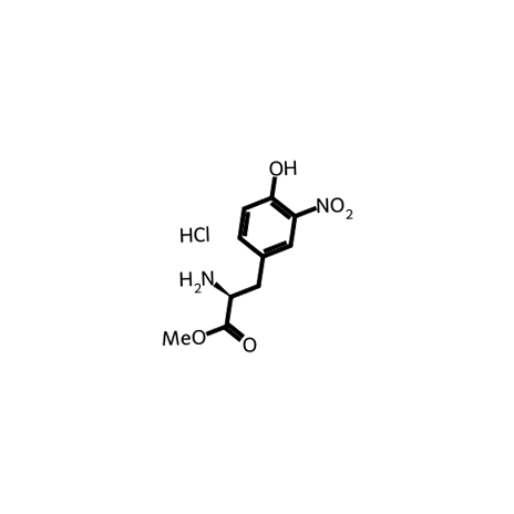 COC(=O)[C@@H](N)Cc1ccc(O)c([N+](=O)[O-])c1.Cl